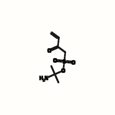 C=CC(=O)CS(=O)(=O)OC(C)(C)N